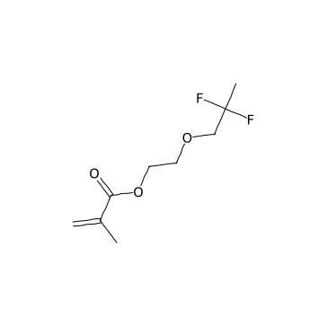 C=C(C)C(=O)OCCOCC(C)(F)F